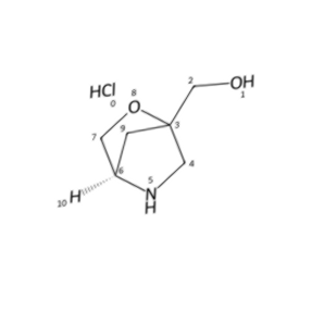 Cl.OCC12CN[C@@H](CO1)C2